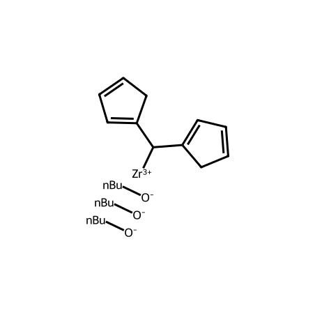 CCCC[O-].CCCC[O-].CCCC[O-].[Zr+3][CH](C1=CC=CC1)C1=CC=CC1